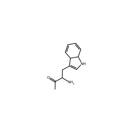 CC(=O)C(N)CC1=CNC2C=CC=CC12